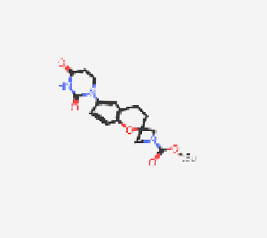 CC(C)(C)OC(=O)N1CC2(CCc3cc(N4CCC(=O)NC4=O)ccc3O2)C1